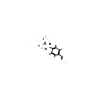 C=Cc1c(F)c(F)c(S(=O)(=O)C(S(=O)(=O)C(F)(F)F)S(=O)(=O)C(F)(F)F)c(F)c1F